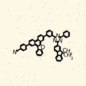 CC1(C)c2ccccc2-c2ccc(-c3nc(-c4ccccc4)nc(-c4cccc(-c5ccc6c7ccc(-c8ccc(C#N)cc8)cc7c7c8ccccc8oc7c6c5)c4)n3)cc21